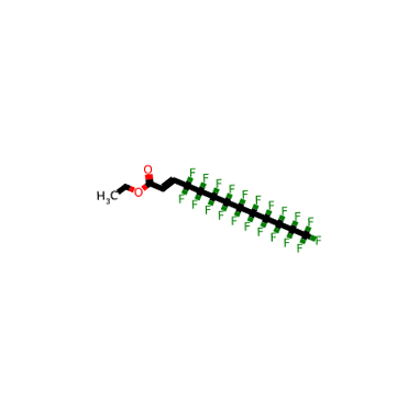 CCOC(=O)C=CC(F)(F)C(F)(F)C(F)(F)C(F)(F)C(F)(F)C(F)(F)C(F)(F)C(F)(F)C(F)(F)C(F)(F)F